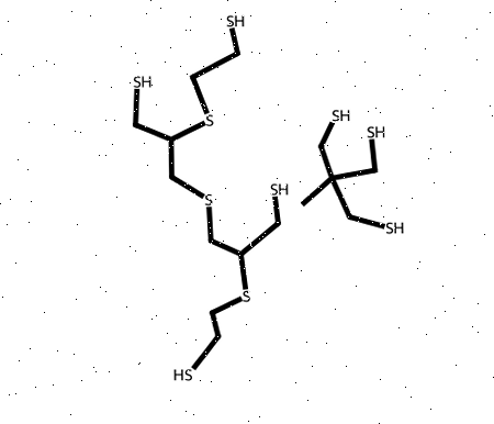 CC(CS)(CS)CS.SCCSC(CS)CSCC(CS)SCCS